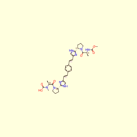 COC(=O)N[C@@H](C)C(=O)N1CCC[C@H]1c1nc(/C=C/c2ccc(/C=C/c3c[nH]c([C@@H]4CCCN4C(=O)[C@H](C)N(C)C(=O)O)n3)cc2)c[nH]1